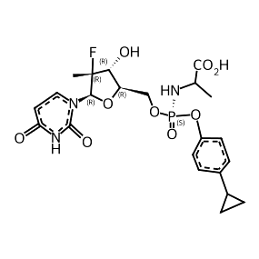 CC(N[P@](=O)(OC[C@H]1O[C@@H](n2ccc(=O)[nH]c2=O)[C@](C)(F)[C@@H]1O)Oc1ccc(C2CC2)cc1)C(=O)O